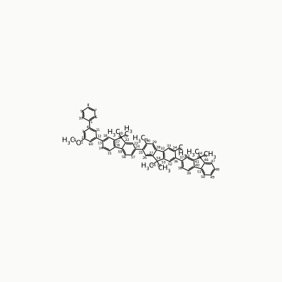 COc1cc(-c2ccccc2)cc(-c2ccc3c(c2)C(C)(C)c2cc(-c4cc5c(cc4C)-c4cc(C)c(-c6ccc7c(c6)C(C)(C)c6ccccc6-7)cc4C5(C)C)ccc2-3)c1